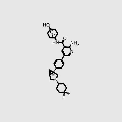 Nc1ncc(-c2ccc([C@]34C=C3CN(C3CCC(F)(F)CC3)C4)cc2)cc1C(=O)NC12CCC(O)(CC1)CC2